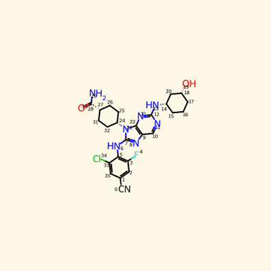 N#Cc1cc(F)c(Nc2nc3cnc(N[C@H]4CCC[C@@H](O)C4)nc3n2[C@H]2CC[C@@H](C(N)=O)CC2)c(Cl)c1